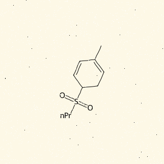 CCCS(=O)(=O)C1C=CC(C)=CC1